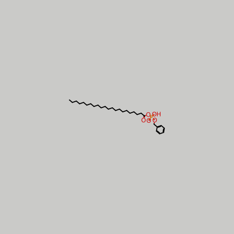 CCCCCCCCCCCCCCCCCCCCCC(=O)OP(=O)(O)OCc1ccccc1